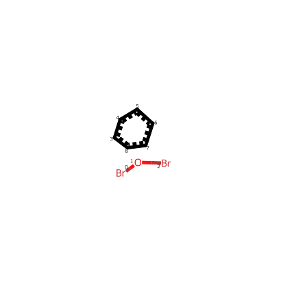 BrOBr.c1ccccc1